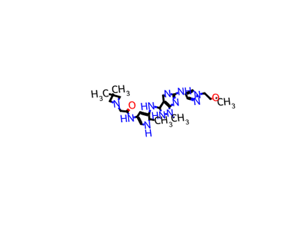 COCCn1cc(Nc2ncc3c(n2)N(C)NC3NC2=CC(NC(=O)CN3CC(C)(C)C3)=CNC2C)cn1